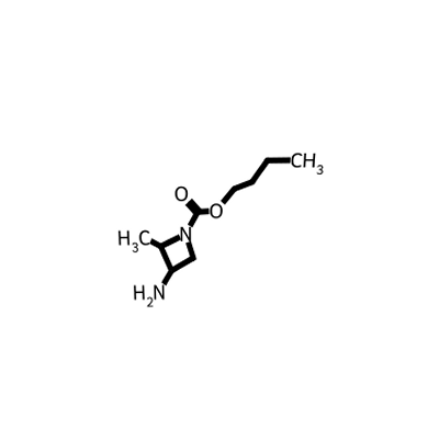 CCCCOC(=O)N1CC(N)C1C